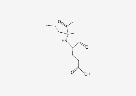 CCCC(C)(NC(C=O)CCC(=O)O)C(C)=O